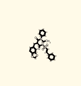 CCN(C(=O)C(Cc1ccc2c(c1)OCO2)C(=O)NS(=O)(=O)C=Cc1ccccc1)c1ccccc1